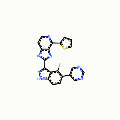 Fc1c(-c2cncnc2)ccc2[nH]nc(-c3nc4c(-c5cccs5)nccc4[nH]3)c12